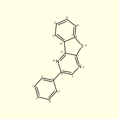 c1ccc(-c2cnc3sc4ccccc4c3n2)cc1